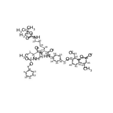 CCC(NC(=O)OCc1ccccc1)C(=O)N[C@@H](CCCCNC(=O)OC(C)(C)C)C(=O)Nc1ccc(COc2ccc3c(C)cc(=O)oc3c2C=O)cc1